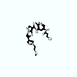 COCCn1cc(-c2cn3ncc(C(=O)Nc4cc(NC(=O)CCCl)cnc4C)c3s2)cn1